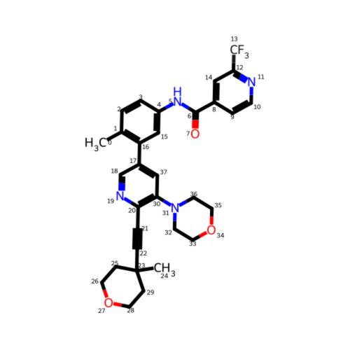 Cc1ccc(NC(=O)c2ccnc(C(F)(F)F)c2)cc1-c1cnc(C#CC2(C)CCOCC2)c(N2CCOCC2)c1